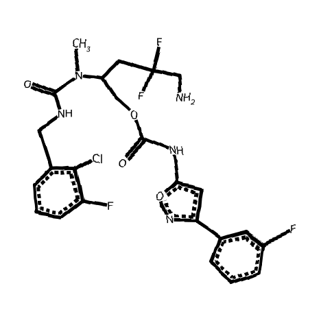 CN(C(=O)NCc1cccc(F)c1Cl)C(COC(=O)Nc1cc(-c2cccc(F)c2)no1)CC(F)(F)CN